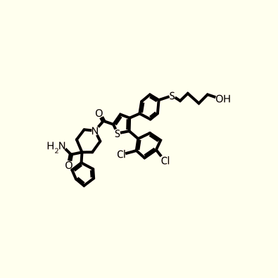 NC(=O)C1(c2ccccc2)CCN(C(=O)c2cc(-c3ccc(SCCCCO)cc3)c(-c3ccc(Cl)cc3Cl)s2)CC1